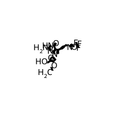 C=CCOC1CC(n2cc(C#CCN=COC(F)(F)F)c3c(=O)[nH]c(N)nc32)OC1CO